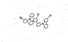 N#CC1=Cc2c(c3ccccc3n2-c2ccccc2-c2ccc(-c3cccc(-n4c5ccccc5c5cc(C#N)ccc54)c3)cc2C#N)CC1